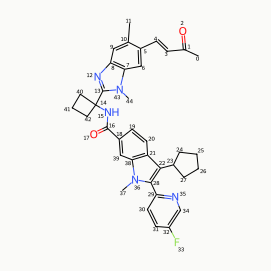 CC(=O)/C=C/c1cc2c(cc1C)nc(C1(NC(=O)c3ccc4c(C5CCCC5)c(-c5ccc(F)cn5)n(C)c4c3)CCC1)n2C